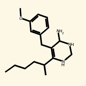 CCCCC(C)C1=C(Cc2cccc(OC)c2)C(N)NCN1